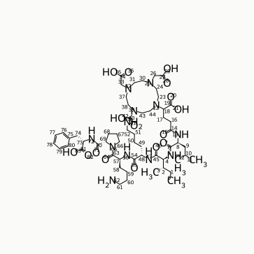 CC[C@H](C)[C@H](NC(=O)[C@H](CC(C)C)NC(=O)CCC(C(=O)O)N1CCN(CC(=O)O)CCN(CC(=O)O)CCN(C(=O)O)CC1)C(=O)N[C@@H](CCCCN)C(=O)N[C@@H](CCCCN)C(=O)N1CCC[C@H]1C(=O)N[C@@H](Cc1ccccc1)C(=O)O